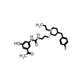 CCCN1CCC(Cc2ccc(F)cc2)C[C@@H]1CCCNC(=O)Nc1cc(O)cc(C(C)=O)c1